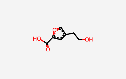 O=C(O)c1cc(CCO)co1